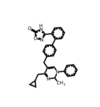 CC1N=C(CC2CC2)C(Cc2ccc(-c3ccccc3-c3noc(=O)[nH]3)cc2)=CN1c1ccccc1